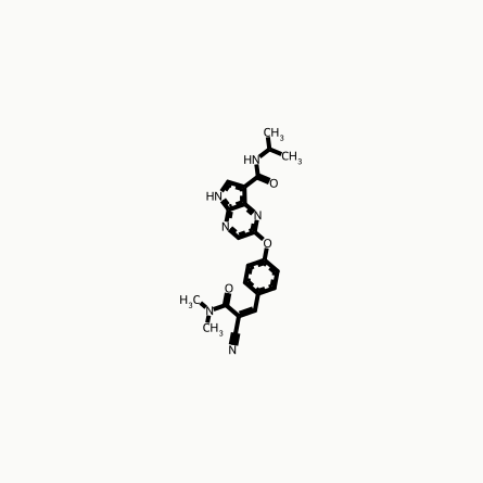 CC(C)NC(=O)c1c[nH]c2ncc(Oc3ccc(C=C(C#N)C(=O)N(C)C)cc3)nc12